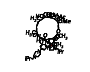 COC1C=COC2(C)Oc3c(C)c(O)c4c(=O)c(c5oc6cc(N7CCN(CC(C)C)CC7)cc(N7CCN(CC(C)C)CC7)c6nc-5c4c3C2=O)NC(=O)C(C)=CC=CC(C)C(O)C(C)C(O)C(C)C(OC(C)=O)C1C